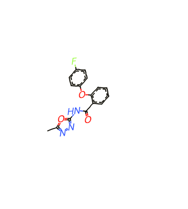 Cc1nnc(NC(=O)c2ccccc2Oc2ccc(F)cc2)o1